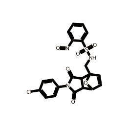 O=Nc1ccccc1S(=O)(=O)NCC12C=CC(O1)C1C(=O)N(c3ccc(Cl)cc3)C(=O)C12